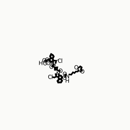 O=C(NCCCCCCN1C(=O)C=CC1=O)Oc1cc2c(c3ccccc13)C(CCl)CN2C(=O)C12CC(C(=O)N3C[C@@H](CCl)c4c3cc(OP(=O)(O)O)c3ccccc43)(C1)C2